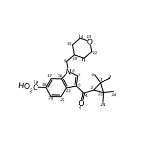 CC1(C)C(C(=O)c2cn(CC3CCOCC3)c3cc(C(=O)O)ccc23)C1(C)C